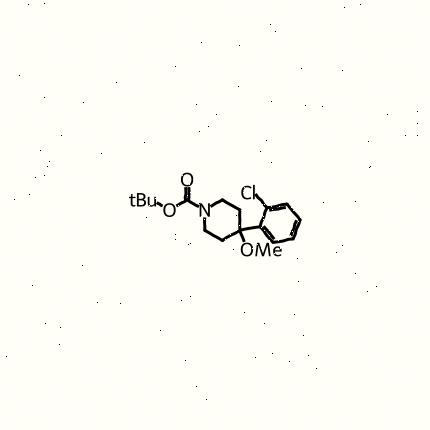 COC1(c2ccccc2Cl)CCN(C(=O)OC(C)(C)C)CC1